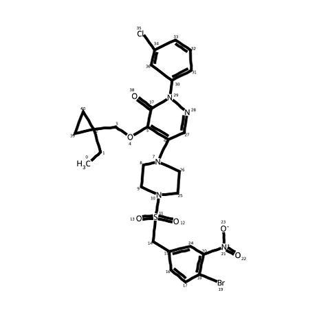 CCC1(COc2c(N3CCN(S(=O)(=O)Cc4ccc(Br)c([N+](=O)[O-])c4)CC3)cnn(-c3cccc(Cl)c3)c2=O)CC1